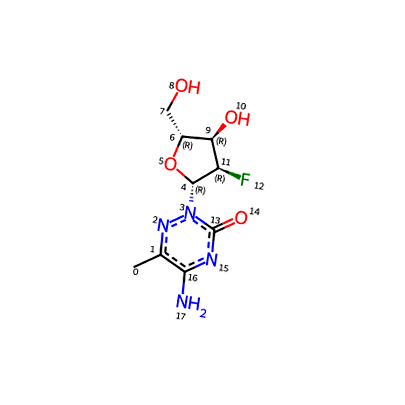 Cc1nn([C@@H]2O[C@H](CO)[C@@H](O)[C@H]2F)c(=O)nc1N